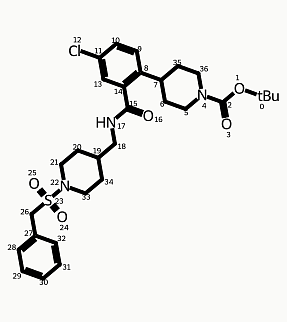 CC(C)(C)OC(=O)N1CCC(c2ccc(Cl)cc2C(=O)NCC2CCN(S(=O)(=O)Cc3ccccc3)CC2)CC1